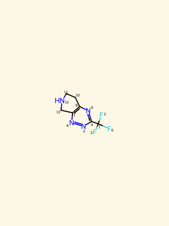 FC(F)(F)c1nnc2c(n1)CCNC2